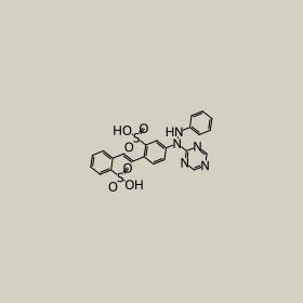 O=S(=O)(O)c1ccccc1C=Cc1ccc(N(Nc2ccccc2)c2ncncn2)cc1S(=O)(=O)O